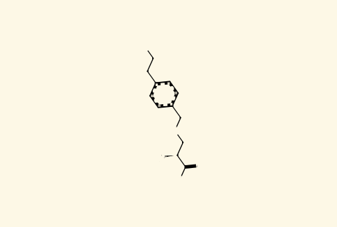 CCCc1ccc(CSC[C@H](N)C(=O)O)cc1